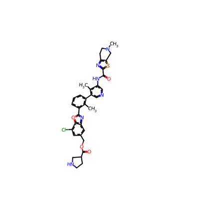 Cc1c(NC(=O)c2nc3c(s2)CN(C)CC3)cncc1-c1cccc(-c2nc3cc(COC(=O)C4CCNC4)cc(Cl)c3o2)c1C